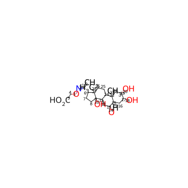 C/C(=N/OCC(=O)O)[C@H]1CC[C@@]2(O)C3=CC(=O)[C@@H]4C[C@@H](O)[C@@H](O)C[C@]4(C)C3CC[C@]12C